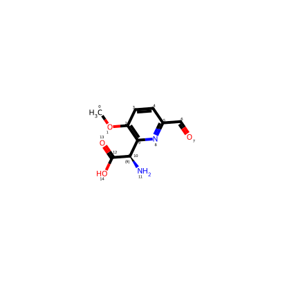 COc1ccc(C=O)nc1[C@@H](N)C(=O)O